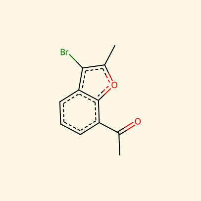 CC(=O)c1cccc2c(Br)c(C)oc12